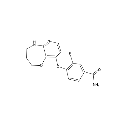 NC(=O)c1ccc(Oc2ccnc3c2OCCCN3)c(F)c1